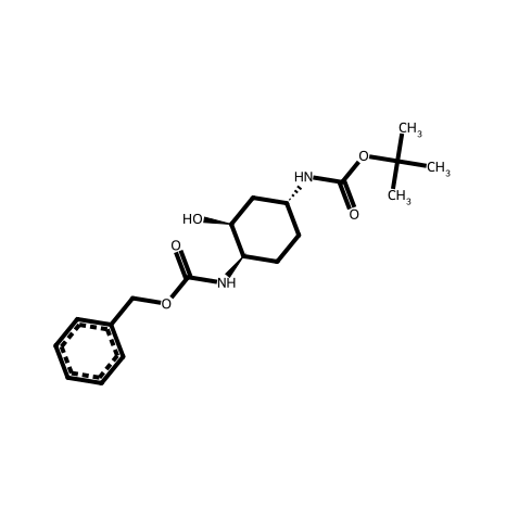 CC(C)(C)OC(=O)N[C@@H]1CC[C@@H](NC(=O)OCc2ccccc2)[C@@H](O)C1